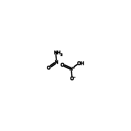 NN=O.O=[N+]([O-])O